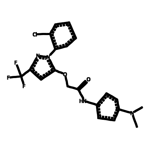 CN(C)c1ccc(NC(=O)COc2cc(C(F)(F)F)nn2-c2ccccc2Cl)cc1